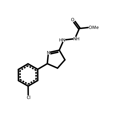 COC(=O)NNC1=NC(c2cccc(Cl)c2)CC1